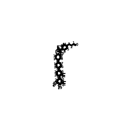 C=CCCc1ccc(C(F)(F)OC2CCC(c3ccc(-c4ccc(-c5cc(F)c(F)c(F)c5)c(F)c4)cc3)CC2)cc1